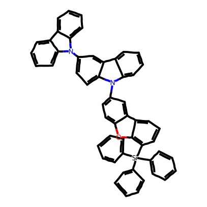 c1ccc([Si](c2ccccc2)(c2ccccc2)c2cccc3c2oc2ccc(-n4c5ccccc5c5cc(-n6c7ccccc7c7ccccc76)ccc54)cc23)cc1